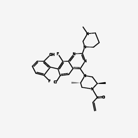 C=CC(=O)N1C[C@H](C)N(c2nc(N3CCCN(C)C3)nc3c(F)c(-c4c(O)cccc4F)c(Cl)cc23)C[C@H]1C